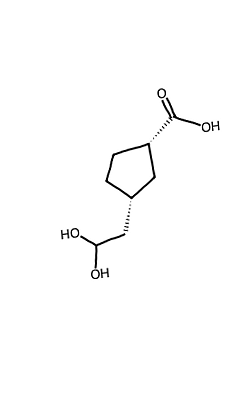 O=C(O)[C@H]1CC[C@@H](CC(O)O)C1